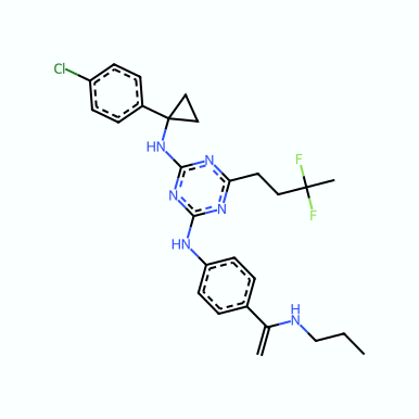 C=C(NCCC)c1ccc(Nc2nc(CCC(C)(F)F)nc(NC3(c4ccc(Cl)cc4)CC3)n2)cc1